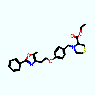 CCOC(=O)C1CSCCN1Cc1ccc(OCCc2nc(-c3ccccc3)oc2C)cc1